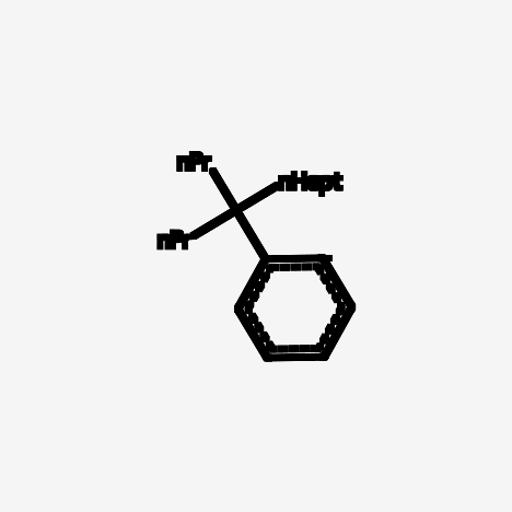 CCCCCCCC(CCC)(CCC)c1[c]cccc1